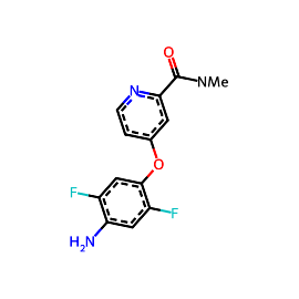 CNC(=O)c1cc(Oc2cc(F)c(N)cc2F)ccn1